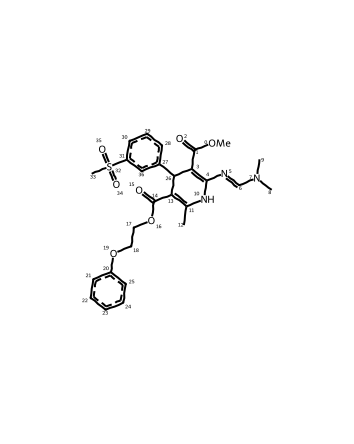 COC(=O)C1=C(N=CN(C)C)NC(C)=C(C(=O)OCCOc2ccccc2)C1c1cccc(S(C)(=O)=O)c1